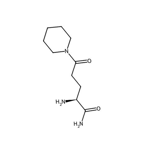 NC(=O)[C@@H](N)CCC(=O)N1CCCCC1